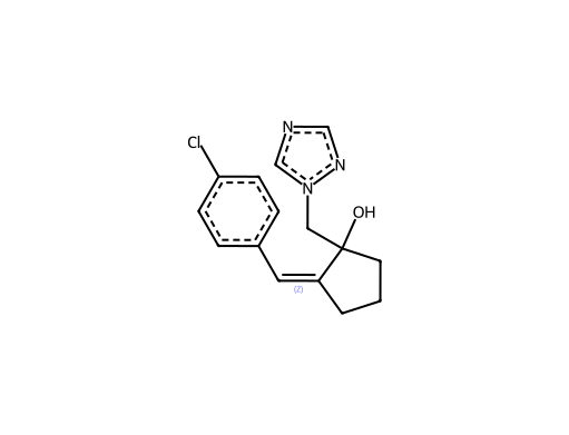 OC1(Cn2cncn2)CCC/C1=C/c1ccc(Cl)cc1